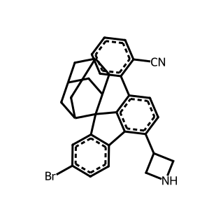 N#Cc1ccccc1-c1ccc(C2CNC2)c2c1C1(c3cc(Br)ccc3-2)C2CC3CC(C2)CC1C3